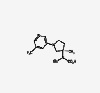 CC(C)(C)N(C(=O)O)[C@]1(C)CCN(c2cncc(C(F)(F)F)c2)C1